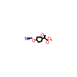 COC(=O)c1coc2cc(OCC#N)ccc12